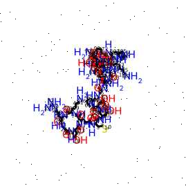 CSCCC(NC(=O)CCC1NC(=O)C(CC(=O)O)NC(=O)CNC(=O)C(CCCN=C(N)N)NC(=O)C(CCCCN)NC1=O)C(=O)NC(CC(=O)O)C(=O)NC(CC(=O)O)C(=O)N1CCCC1C(=O)NCC(=O)N=C(N)NCCC[C@H](N)C(=O)N[C@@H](CC(N)=O)C(=O)N1CCC[C@H]1C(=O)N[C@@H](Cc1c[nH]cn1)C(=O)N[C@@H](CCCCN)C(=O)NCC(=O)N1CCC[C@H]1C(=O)N[C@@H](C)C(=O)N[C@H](C(=O)O)[C@@H](C)O